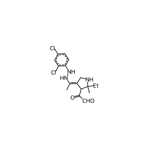 CCC1(C)NCC(=C(C)NNc2ccc(Cl)cc2Cl)C1C(=O)C=O